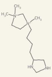 C[N+]1(C)CC[N+](C)(CCCCC2CNCN2)C1